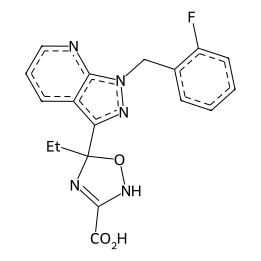 CCC1(c2nn(Cc3ccccc3F)c3ncccc23)N=C(C(=O)O)NO1